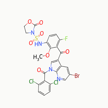 COc1c(NS(=O)(=O)N2CCOC2=O)ccc(F)c1C(=O)c1cn(C(=O)c2c(Cl)cccc2Cl)c2ncc(Br)cc12